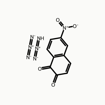 O=C1C=Cc2cc([N+](=O)[O-])ccc2C1=O.[N-]=[N+]=N.[N-]=[N+]=[N-]